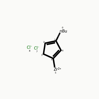 CCCCC1=CC[C]([Zr+2])=C1.[Cl-].[Cl-]